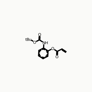 C=CC(=O)Oc1ccccc1NC(=O)OC(C)(C)C